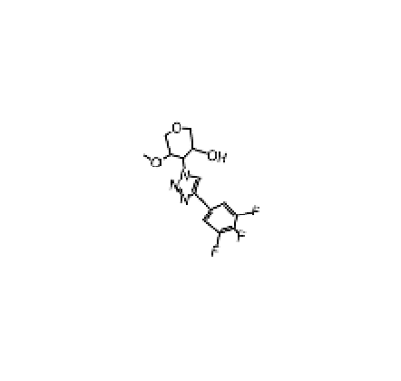 COC1COCC(O)C1n1cc(-c2cc(F)c(F)c(F)c2)nn1